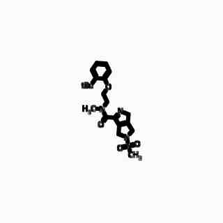 CN(CCOc1ccccc1C(C)(C)C)C(=O)C1=NCC2=C1CN(S(C)(=O)=O)C2